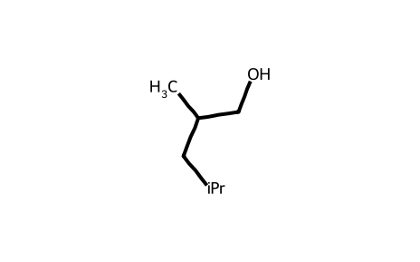 CC(C)CC(C)CO